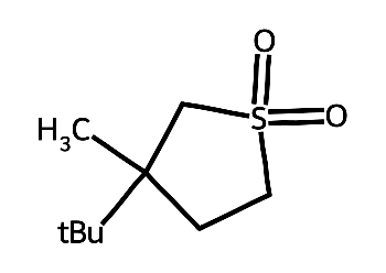 CC(C)(C)C1(C)CCS(=O)(=O)C1